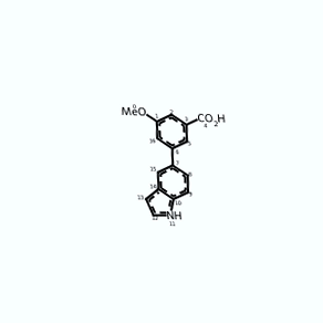 COc1cc(C(=O)O)cc(-c2ccc3[nH]ccc3c2)c1